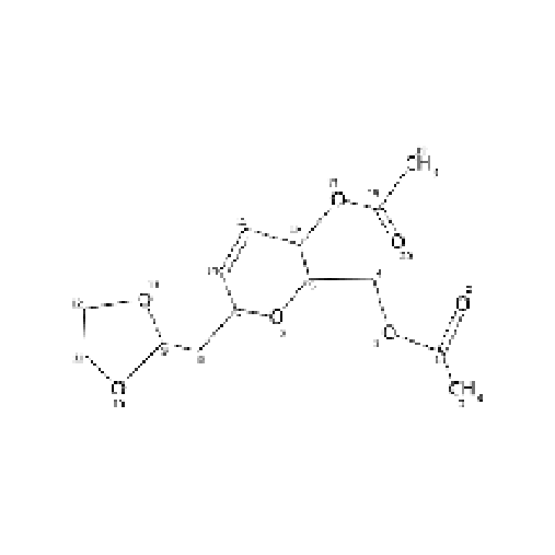 CC(=O)OCC1OC(CC2OCCO2)C=CC1OC(C)=O